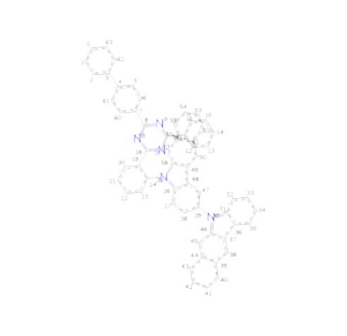 c1ccc(-c2ccc(-c3nc(-c4ccccc4)nc(-c4ccccc4-n4c5ccc(-n6c7ccccc7c7cc8ccccc8cc76)cc5c5cc6ccccc6cc54)n3)cc2)cc1